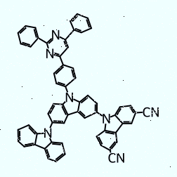 N#Cc1ccc2c(c1)c1cc(C#N)ccc1n2-c1ccc2c(c1)c1cc(-n3c4ccccc4c4ccccc43)ccc1n2-c1ccc(-c2cc(-c3ccccc3)nc(-c3ccccc3)n2)cc1